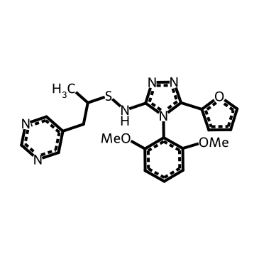 COc1cccc(OC)c1-n1c(NSC(C)Cc2cncnc2)nnc1-c1ccco1